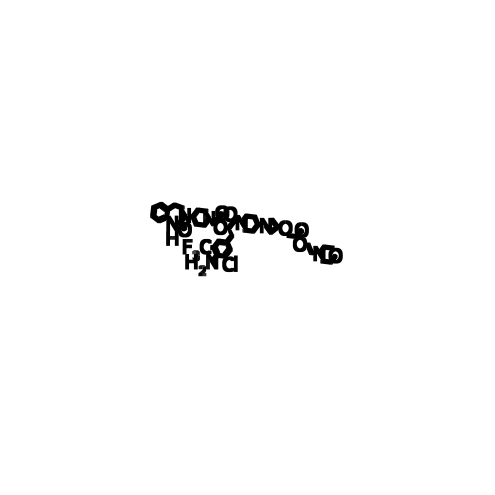 Nc1c(Cl)cc(C[C@@H](OC(=O)N2CCC(N3CCc4ccccc4NC3=O)CC2)C(=O)N2CCC(N3CC(OCC(=O)OCCN4CCOCC4)C3)CC2)cc1C(F)(F)F